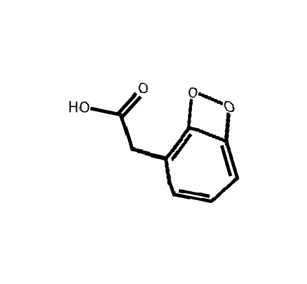 O=C(O)Cc1cccc2ooc12